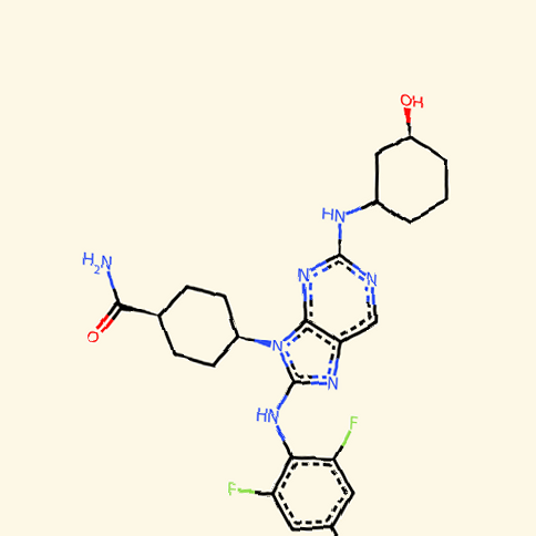 NC(=O)[C@H]1CC[C@@H](n2c(Nc3c(F)cc(Cl)cc3F)nc3cnc(NC4CCC[C@H](O)C4)nc32)CC1